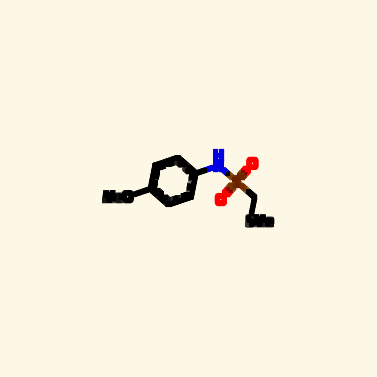 COc1ccc(NS(=O)(=O)CSC)cc1